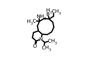 BC1(CC)CCCCC2C(CCC(=O)N2C(C)C)CC(C)(N)C1